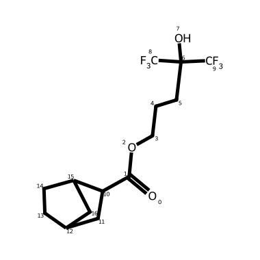 O=C(OCCCC(O)(C(F)(F)F)C(F)(F)F)C1CC2CCC1C2